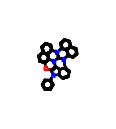 C1=CC2C3C(=C1)N1B4N5C3=C(Oc3ccc6cccc(c6c35)N4c3cccc4cccc1c34)N2c1ccccc1